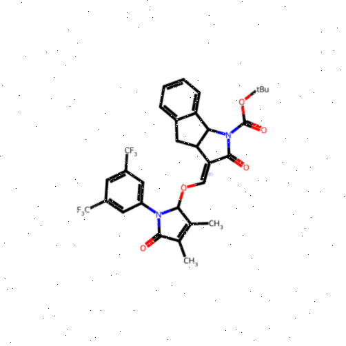 CC1=C(C)C(O/C=C2/C(=O)N(C(=O)OC(C)(C)C)C3c4ccccc4CC23)N(c2cc(C(F)(F)F)cc(C(F)(F)F)c2)C1=O